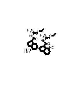 CCON=C(N)NC(=O)c1cccc2ccccc12.CCON=C(N)NC(=O)c1cccc2ccccc12.Cl.Cl.O